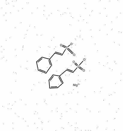 O=S(=O)([O-])C=Cc1ccccc1.O=S(=O)([O-])C=Cc1ccccc1.[Mg+2]